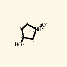 [O-][NH+]1CCC(O)C1